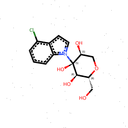 OC[C@H]1OC[C@H](O)[C@@](O)(n2ccc3c(Cl)cccc32)[C@@H]1O